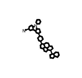 N#Cc1ccc2c(c1)c1cc(-c3ccc(-c4ccc5ccc6c(-c7cccc8ccccc78)ccc7ccc4c5c76)cc3)ccc1n2-c1ccccc1